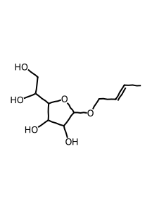 C/C=C/COC1OC(C(O)CO)C(O)C1O